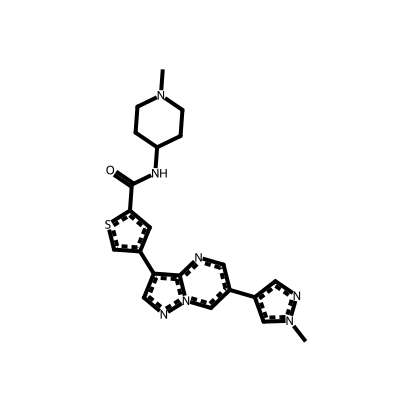 CN1CCC(NC(=O)c2cc(-c3cnn4cc(-c5cnn(C)c5)cnc34)cs2)CC1